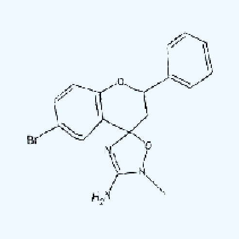 CN1OC2(CC(c3ccccc3)Oc3ccc(Br)cc32)N=C1N